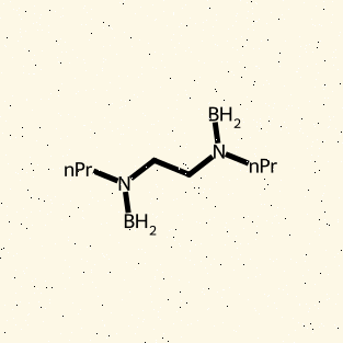 BN(CCC)CCN(B)CCC